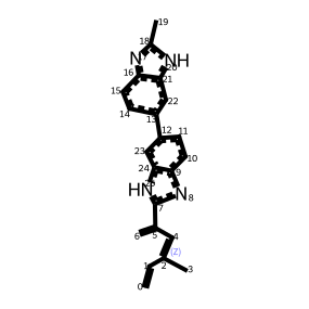 C=C/C(C)=C\C(=C)c1nc2ccc(-c3ccc4nc(C)[nH]c4c3)cc2[nH]1